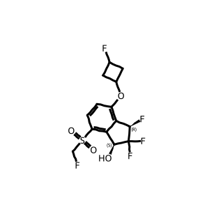 O=S(=O)(CF)c1ccc(OC2CC(F)C2)c2c1[C@H](O)C(F)(F)[C@@H]2F